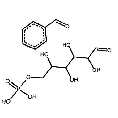 O=CC(O)C(O)C(O)C(O)COP(=O)(O)O.O=Cc1ccccc1